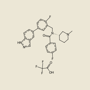 CN1CCC[C@H](N(Cc2cc(-c3ccc4[nH]ncc4c3)ccc2F)C(=O)c2ccc(F)cc2)C1.O=C(O)C(F)(F)F